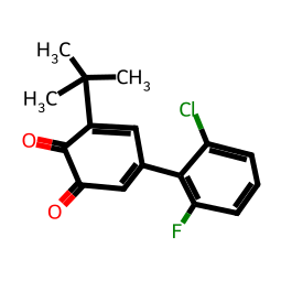 CC(C)(C)C1=CC(c2c(F)cccc2Cl)=CC(=O)C1=O